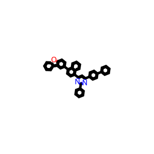 c1ccc(-c2ccc(-c3cc(-c4ccc(-c5ccc6oc7ccccc7c6c5)c5ccccc45)nc(-c4ccccc4)n3)cc2)cc1